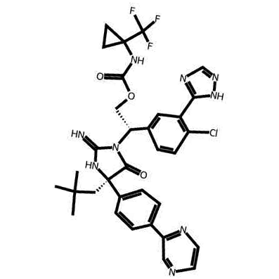 CC(C)(C)C[C@]1(c2ccc(-c3cnccn3)cc2)NC(=N)N([C@H](COC(=O)NC2(C(F)(F)F)CC2)c2ccc(Cl)c(-c3ncn[nH]3)c2)C1=O